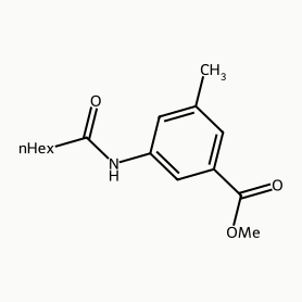 CCCCCCC(=O)Nc1cc(C)cc(C(=O)OC)c1